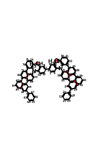 Cc1cc(-c2ccc(N(c3ccc(-c4cccc(-c5ccccc5)c4)cc3)c3c(C)cccc3-c3ccc(-c4ccccc4)cc3)c(C)c2)ccc1N(c1ccc(-c2cccc(-c3ccccc3)c2)cc1)c1c(C)cccc1-c1ccc(-c2ccccc2)cc1